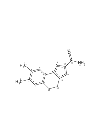 Cc1cc2c(cc1C)-c1sc(C(N)=O)cc1CC2